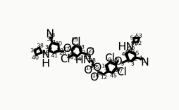 N#Cc1cc(COc2c(Cl)cc(CC(=O)OC(=O)CNC(=O)c3cc(Cl)c(OCc4cc(C#N)cc(NC5CCC5)c4)c(Cl)c3)cc2Cl)cc(NC2CCC2)c1